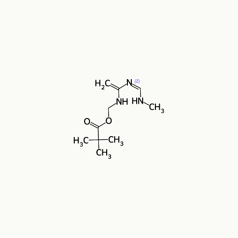 C=C(/N=C\NC)NCOC(=O)C(C)(C)C